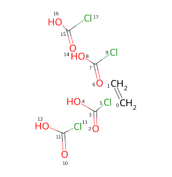 C=C.O=C(O)Cl.O=C(O)Cl.O=C(O)Cl.O=C(O)Cl